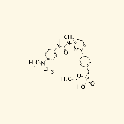 CCO[C@@H](Cc1ccc(-c2cccc(N(C)C(=O)Nc3ccc(N(C)C)cc3)n2)cc1)C(=O)O